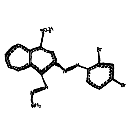 NN=Nc1c(/N=N/c2ccc(Br)cc2Br)cc(S(=O)(=O)O)c2ccccc12